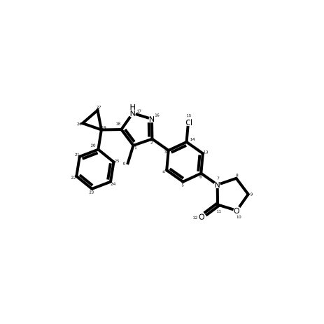 Cc1c(-c2ccc(N3CCOC3=O)cc2Cl)n[nH]c1C1(c2ccccc2)CC1